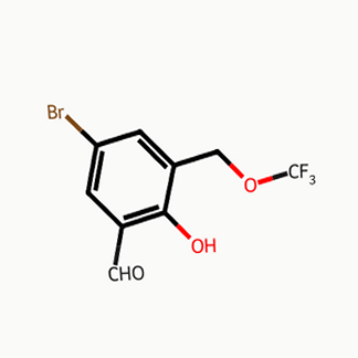 O=Cc1cc(Br)cc(COC(F)(F)F)c1O